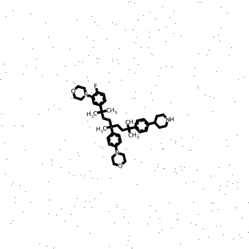 CC(C)(CCC(C)(CCC(C)(C)c1ccc(F)c(N2CCOCC2)c1)c1ccc(N2CCOCC2)cc1)c1ccc(C2CCNCC2)cc1